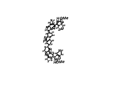 COC(=O)NC(C(=O)N1CCC[C@H]1c1nc2ccc(-c3ccc4c(c3)C(F)(F)c3cc(-c5cnc([C@@H]6CCCN6C(=O)[C@@H](NC(=O)OC)C6CCOCC6)[nH]5)ccc3-4)cc2[nH]1)c1ccccc1